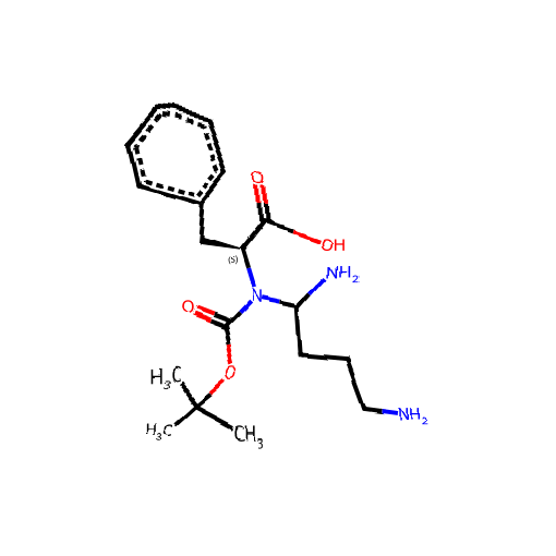 CC(C)(C)OC(=O)N(C(N)CCCN)[C@@H](Cc1ccccc1)C(=O)O